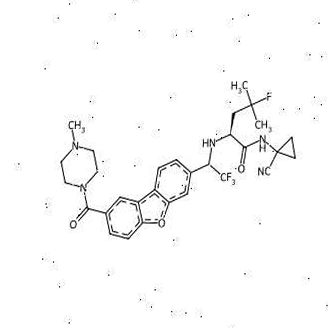 CN1CCN(C(=O)c2ccc3oc4cc(C(N[C@@H](CC(C)(C)F)C(=O)NC5(C#N)CC5)C(F)(F)F)ccc4c3c2)CC1